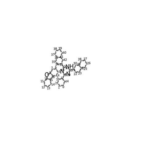 c1ccc(-c2cccc3oc4ccccc4c23)c(C2=NC(c3ccc4ccccc4c3)NC(c3ccc4ccccc4c3)=N2)c1